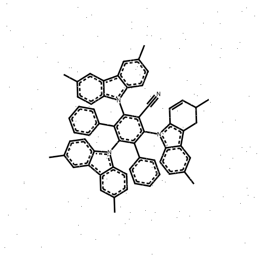 Cc1ccc2c(c1)c1c(n2-c2c(C#N)c(-n3c4ccc(C)cc4c4cc(C)ccc43)c(-c3ccccc3)c(-n3c4ccc(C)cc4c4cc(C)ccc43)c2-c2ccccc2)C=CC(C)C1